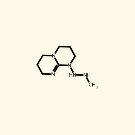 CNNN1CCCN2CCCN=C21